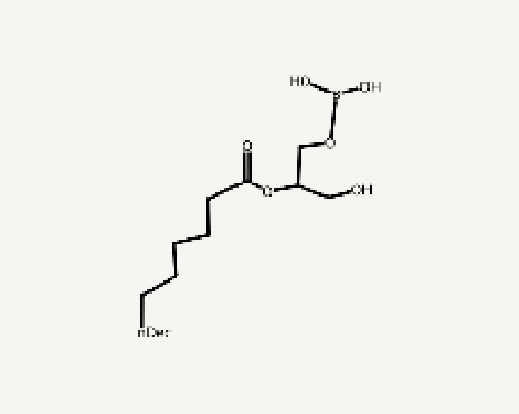 CCCCCCCCCCCCCCCC(=O)OC(CO)COB(O)O